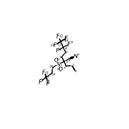 CCCC(C#N)(CCC(F)(F)C(F)(F)F)S(=O)(=O)CCC(F)(F)F